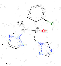 C[C@@H](n1nccn1)[C@](O)(Cn1cncn1)c1ccccc1Cl